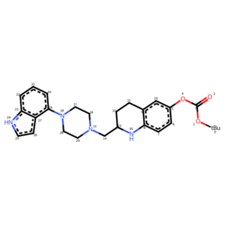 CC(C)(C)OC(=O)Oc1ccc2c(c1)CCC(CN1CCN(c3cccc4[nH]ccc34)CC1)N2